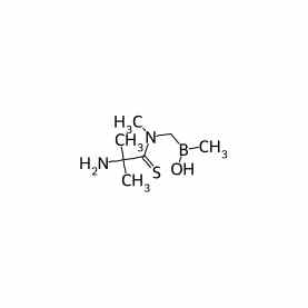 CB(O)CN(C)C(=S)C(C)(C)N